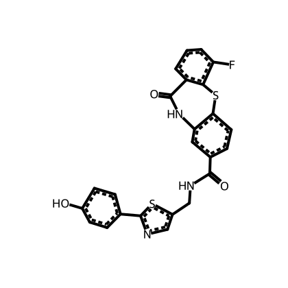 O=C(NCc1cnc(-c2ccc(O)cc2)s1)c1ccc2c(c1)NC(=O)c1cccc(F)c1S2